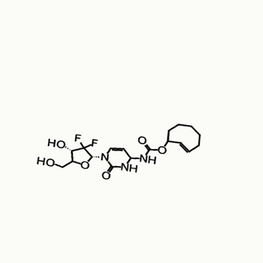 O=C(NC1C=CN([C@@H]2OC(CO)[C@H](O)C2(F)F)C(=O)N1)OC1/C=C/CCCCC1